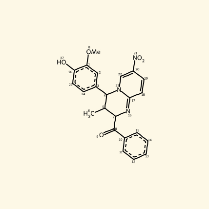 COc1cc(C2C(C)C(C(=O)c3ccccc3)N=C3C=CC([N+](=O)[O-])=CN32)ccc1O